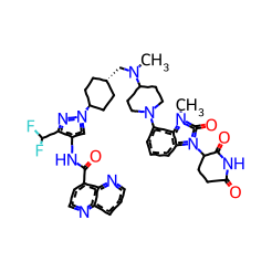 CN(C[C@H]1CC[C@H](n2cc(NC(=O)c3ccnc4cccnc34)c(C(F)F)n2)CC1)C1CCN(c2cccc3c2n(C)c(=O)n3C2CCC(=O)NC2=O)CC1